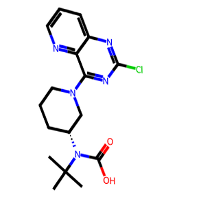 CC(C)(C)N(C(=O)O)[C@@H]1CCCN(c2nc(Cl)nc3cccnc23)C1